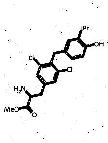 COC(=O)C(N)Cc1cc(Cl)c(Cc2ccc(O)c(C(C)C)c2)c(Cl)c1